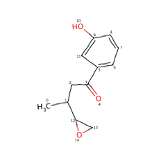 CC(CC(=O)c1cccc(O)c1)C1CO1